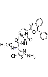 CO/N=C(\C(=O)N[C@@H]1C(=O)N2C(C(=O)OC(c3ccccc3)c3ccccc3)=CCS[C@H]12)c1nc(N)sc1Cl